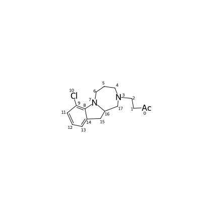 CC(=O)CCN1CCCN2c3c(Cl)cccc3CC2C1